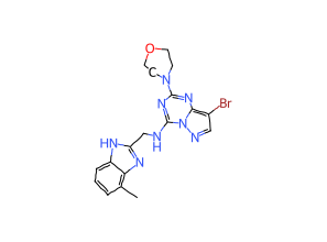 Cc1cccc2[nH]c(CNc3nc(N4CCOCC4)nc4c(Br)cnn34)nc12